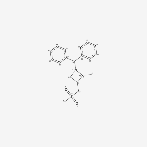 C[C@@H]1C(CS(C)(=O)=O)CN1C(c1ccccc1)c1ccccc1